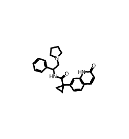 O=C(NC(CN1CCCC1)c1ccccc1)C1(c2ccc3ccc(=O)[nH]c3c2)CC1